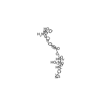 Cc1ncsc1-c1ccc(C(C)NC(=O)C2CC(O)CN2C(=O)C(NC(=O)CCOCCC(=O)N2CCN(c3ccc(CN4CCCC(Oc5cc(-c6ccccc6O)nnc5N)C4)cc3)CC2)C(C)(C)C)cc1